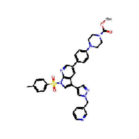 Cc1ccc(S(=O)(=O)n2cc(-c3cnn(Cc4cccnc4)c3)c3cc(-c4ccc(N5CCN(C(=O)OC(C)(C)C)CC5)cc4)cnc32)cc1